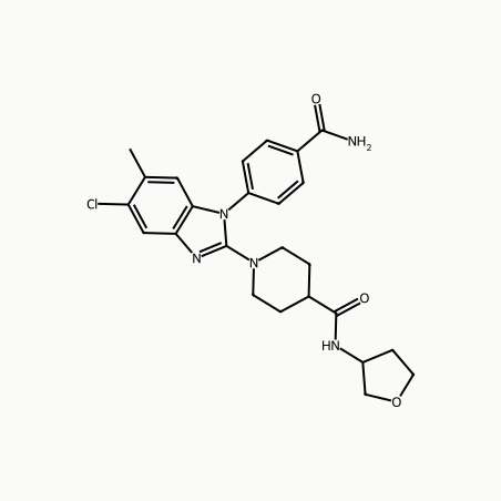 Cc1cc2c(cc1Cl)nc(N1CCC(C(=O)NC3CCOC3)CC1)n2-c1ccc(C(N)=O)cc1